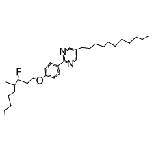 CCCCCCCCCCCc1cnc(-c2ccc(OCCC(F)C(C)CCCCC)cc2)nc1